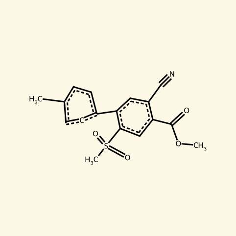 COC(=O)c1cc(S(C)(=O)=O)c(-c2ccc(C)cc2)cc1C#N